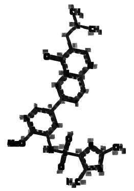 COc1ncc(-c2ccc3ncc(CN(C)C)c(=O)n3c2)cc1NS(=O)(=O)c1sc(C)nc1C